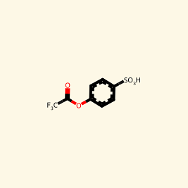 O=C(Oc1ccc(S(=O)(=O)O)cc1)C(F)(F)F